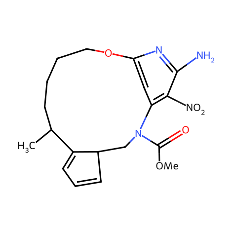 COC(=O)N1CC2C=CC=C2C(C)CCCCOc2cc1c([N+](=O)[O-])c(N)n2